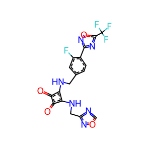 O=c1c(NCc2ccc(-c3noc(C(F)(F)F)n3)c(F)c2)c(NCc2ncon2)c1=O